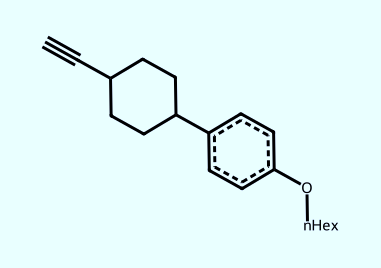 C#CC1CCC(c2ccc(OCCCCCC)cc2)CC1